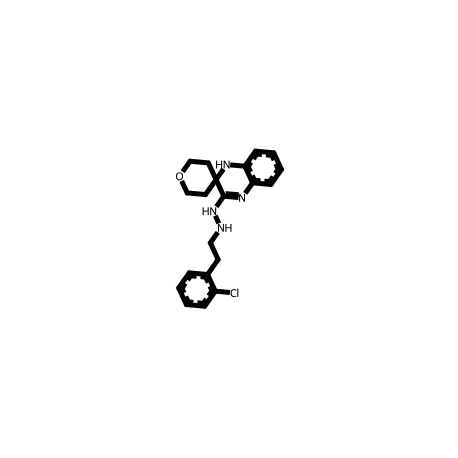 Clc1ccccc1CCNNC1=Nc2ccccc2NC12CCOCC2